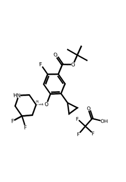 CC(C)(C)OC(=O)c1cc(C2CC2)c(O[C@H]2CNCC(F)(F)C2)cc1F.O=C(O)C(F)(F)F